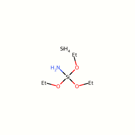 CCO[Si](N)(OCC)OCC.[SiH4]